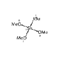 C[O][Sn]([O]C)([O]C)[C](C)(C)C